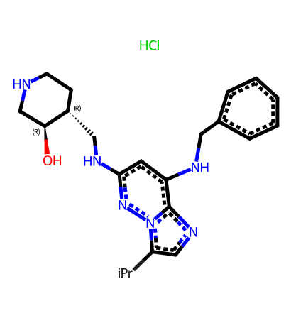 CC(C)c1cnc2c(NCc3ccccc3)cc(NC[C@H]3CCNC[C@@H]3O)nn12.Cl